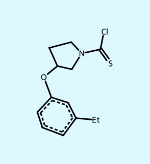 CCc1cccc(OC2CCN(C(=S)Cl)C2)c1